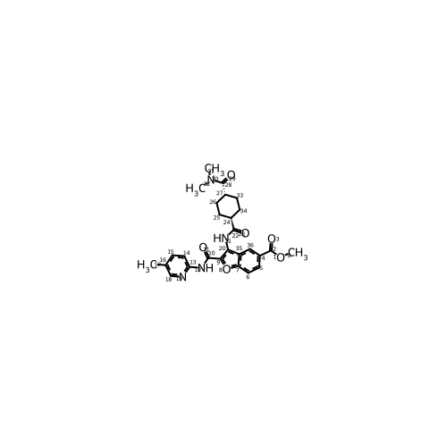 COC(=O)c1ccc2oc(C(=O)Nc3ccc(C)cn3)c(NC(=O)[C@H]3CC[C@H](C(=O)N(C)C)CC3)c2c1